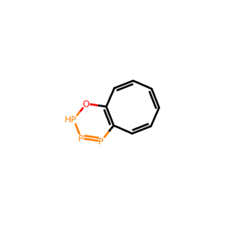 c1cccc2pp[pH]oc=2cc1